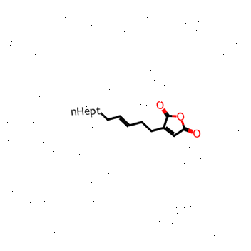 CCCCCCCCC=CCCC1=CC(=O)OC1=O